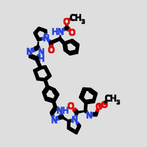 COO/C=N\[C@@H](C(=O)N1CCC[C@H]1c1ncc(-c2ccc(C3CCC(c4cnc([C@@H]5CCCN5C(=O)[C@H](NC(=O)OC)c5ccccc5)[nH]4)CC3)cc2)[nH]1)c1ccccc1